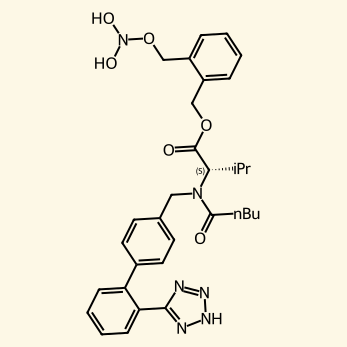 CCCCC(=O)N(Cc1ccc(-c2ccccc2-c2nn[nH]n2)cc1)[C@H](C(=O)OCc1ccccc1CON(O)O)C(C)C